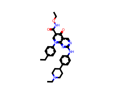 CCONC(=O)c1cn(-c2ccc(CC)cc2)c2nc(Nc3ccc(C4CCN(CC)CC4)cc3)ncc2c1=O